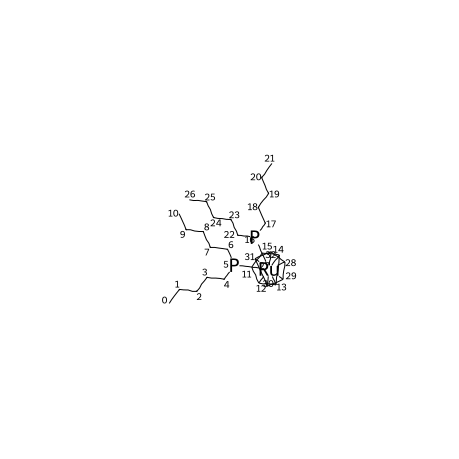 CCCCCP(CCCCC)[C]12[CH]3[CH]4[CH]5[C]1(P(CCCCC)CCCCC)[Ru]43521678[CH]2[CH]1[CH]6[CH]7[CH]28